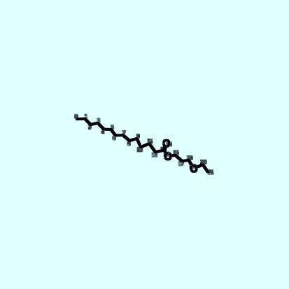 CCCCCCCCCCCCCC(=O)OCCCOCC